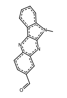 Cn1c2ccccc2c2nc3ccc(C=O)cc3nc21